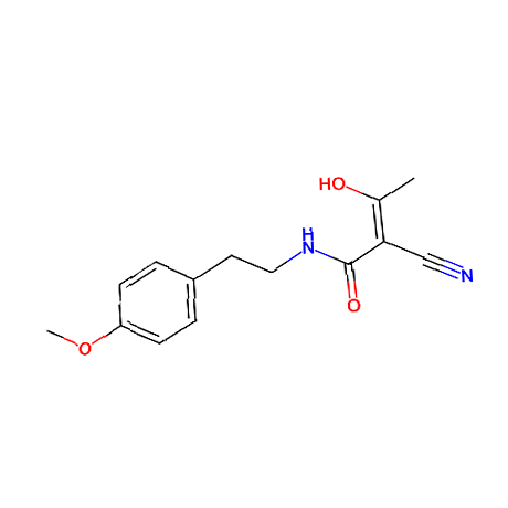 COc1ccc(CCNC(=O)C(C#N)=C(C)O)cc1